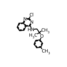 Cc1cccc(OC(C)(C)CNc2nc(Cl)nc3ccccc23)c1